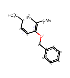 CO/C(=C(/C=C\CC(=O)O)OCc1ccccc1)C(C)C